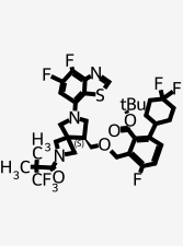 CC(C)(C)OC(=O)c1c(C2CCC(F)(F)CC2)ccc(F)c1COC[C@@H]1CN(c2cc(F)c(F)c3ncsc23)CC12CN(C(=O)C(C)(C)C(F)(F)F)C2